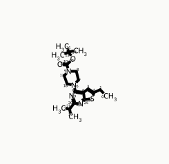 CCc1cc2c(N3CCN(C(=O)OC(C)(C)C)CC3)nc(C(C)C)nc2s1